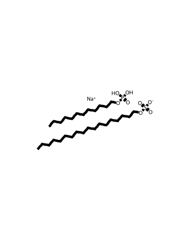 CCCCCCCCCCCCCCCCCCOS(=O)(=O)[O-].CCCCCCCCCCCCOP(=O)(O)O.[Na+]